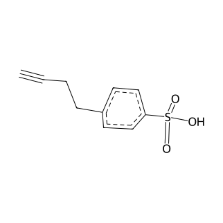 C#CCCc1ccc(S(=O)(=O)O)cc1